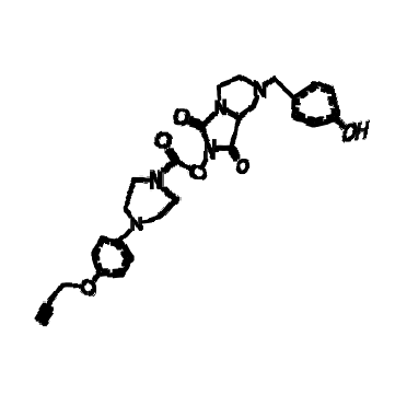 C#CCOc1ccc(N2CCN(C(=O)ON3C(=O)C4CN(Cc5ccc(O)cc5)CCN4C3=O)CC2)cc1